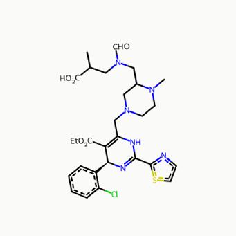 CCOC(=O)C1=C(CN2CCN(C)C(CN(C=O)CC(C)C(=O)O)C2)NC(c2nccs2)=N[C@H]1c1ccccc1Cl